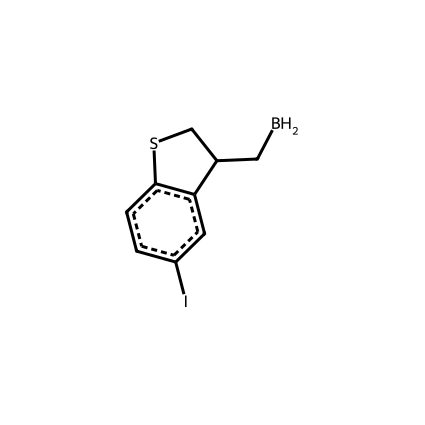 BCC1CSc2ccc(I)cc21